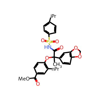 CCCc1cc(C(=O)OC)ccc1OC(C)(C(=O)NS(=O)(=O)c1ccc(C(C)C)cc1)c1ccc2c(c1)OCO2